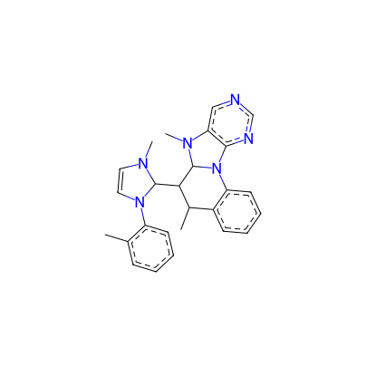 Cc1ccccc1N1C=CN(C)C1C1C(C)c2ccccc2N2c3ncncc3N(C)C12